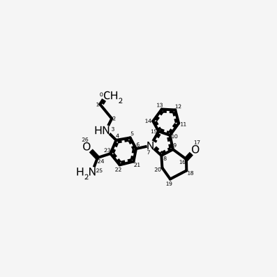 C=CCNc1cc(-n2c3c(c4ccccc42)C(=O)CCC3)ccc1C(N)=O